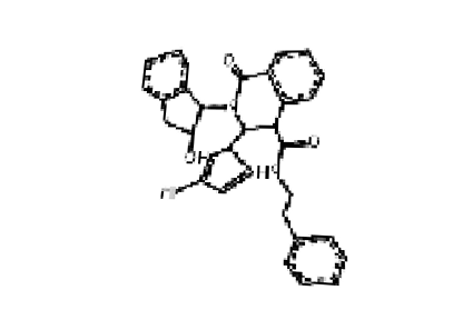 O=C(NCCc1ccccc1)C1c2ccccc2C(=O)N([C@@H]2c3ccccc3C[C@@H]2O)C1C1C=CC(Cl)=C1